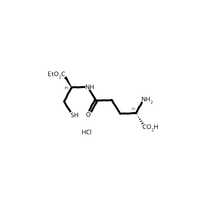 CCOC(=O)[C@H](CS)NC(=O)CC[C@H](N)C(=O)O.Cl